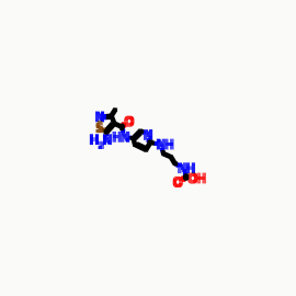 Cc1nsc(N)c1C(=O)Nc1ccc(NCCCNC(=O)O)nc1